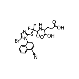 N#Cc1ccc(-n2c(Br)cnc2SC(F)(F)C(=O)NC(CCC(=O)O)C(=O)O)c2ccccc12